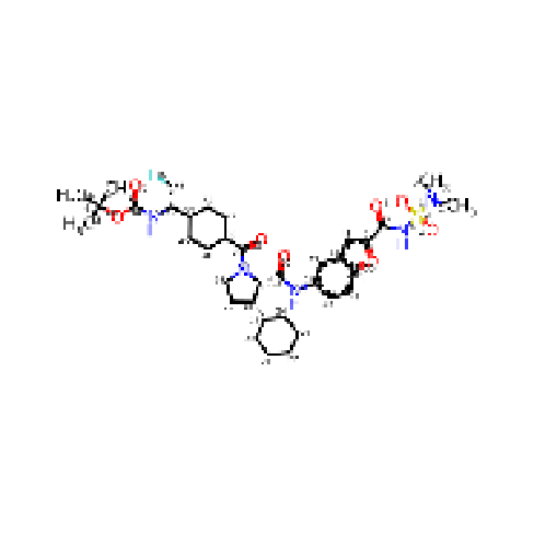 CN(C)S(=O)(=O)NC(=O)c1cc2cc(NC(=O)[C@@H]3[C@H](C4CCCCC4)CCN3C(=O)C3CCC([C@@H](CF)NC(=O)OC(C)(C)C)CC3)ccc2o1